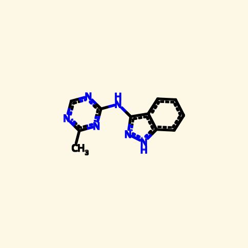 Cc1ncnc(Nc2n[nH]c3ccccc23)n1